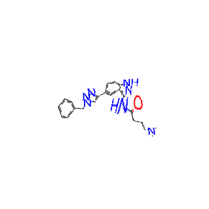 CN(C)CCCC(=O)Nc1n[nH]c2ccc(-c3cn(Cc4ccccc4)nn3)cc12